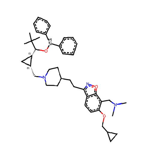 CN(C)Cc1c(OCC2CC2)ccc2c(CCC3CCN(C[C@@H]4C[C@@H]4C(O[SiH](c4ccccc4)c4ccccc4)C(C)(C)C)CC3)noc12